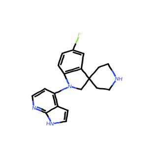 Fc1ccc2c(c1)C1(CCNCC1)CN2c1ccnc2[nH]ccc12